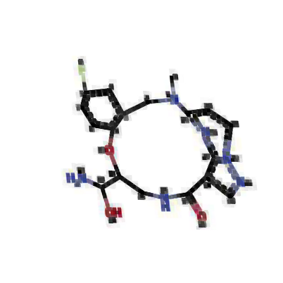 CN1Cc2cc(F)ccc2OC(C(N)O)CNC(=O)c2cnn3ccc1nc23